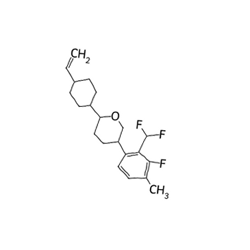 C=CC1CCC(C2CCC(c3ccc(C)c(F)c3C(F)F)CO2)CC1